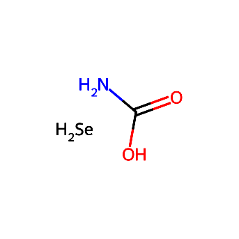 NC(=O)O.[SeH2]